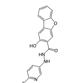 O=C(NNc1ccc(F)nc1)c1cc2oc3ccccc3c2cc1O